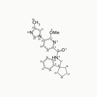 COc1nc(C(=O)NCC2(c3ccccc3)CCCC2)ccc1-n1cnc(C)c1